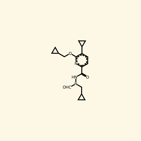 O=CN(CC1CC1)NC(=O)c1ccc(C2CC2)c(OCC2CC2)n1